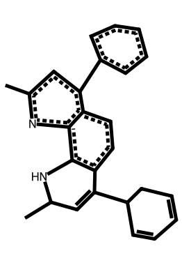 Cc1cc(-c2ccccc2)c2ccc3c(c2n1)NC(C)C=C3C1C=CC=CC1